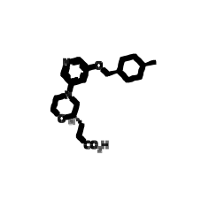 C[C@H]1CC[C@@H](COc2cncc(N3CCO[C@@H](CCC(=O)O)C3)c2)CC1